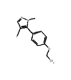 Cn1ncc(I)c1-c1ccc(OCC(F)(F)F)cc1